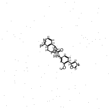 COc1cc(NC(=O)N2C3CCC2c2ccnc(F)c2C3)ccc1-c1cnco1